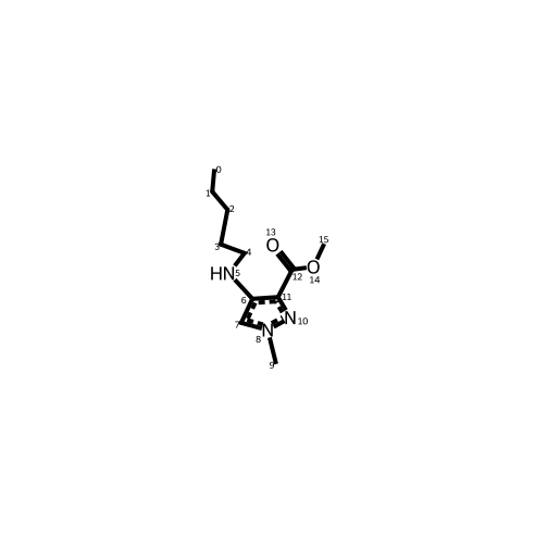 CCCCCNc1cn(C)nc1C(=O)OC